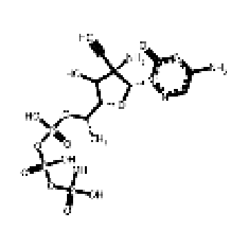 C#C[C@@]1(N)C(O)[C@@H]([C@H](C)OP(=O)(O)OP(=O)(O)OP(=O)(O)O)O[C@H]1n1ncc(N)nc1=O